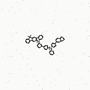 CC1(C)c2ccccc2-c2cc3c(cc21)c1ccccc1n3-c1cccc(-c2ccc(N(c3ccccc3)c3ccc(-c4ccc5ccccc5c4)cc3)cc2)c1